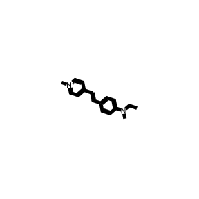 CCN(C)c1ccc(C=Cc2cc[n+](C)cc2)cc1